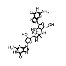 CC(NC[C@H]1O[C@@H](n2cnc3c(=O)[nH]c(N)nc32)C[C@@H]1O)(N[C@H]1[C@@H](O)[C@H](n2cnc3c(=O)[nH]c(N)nc32)O[C@@H]1CO)C(F)(F)F